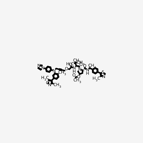 CC(=O)O[C@@H]1C[C@@H](C(=O)N[C@@H](C)c2ccc(-c3scnc3C)cc2)N(C(=O)[C@@H](NC(=O)COCC#CCN(c2ccc(-n3ccnc3)cc2)c2cc(-c3c(C)noc3C)ccc2C)C(C)(C)C)C1